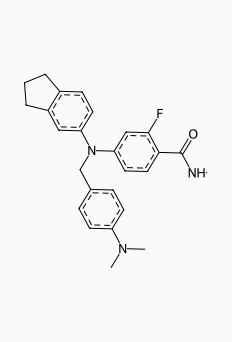 CN(C)c1ccc(CN(c2ccc(C([NH])=O)c(F)c2)c2ccc3c(c2)CCC3)cc1